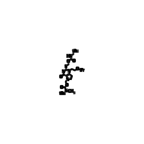 CC(C)OCCn1c(SCOC(=O)NCC(C)(C)C)nc(=O)c2c1ccn2COC(=O)N(C)C(C)(C)C